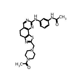 CC(=O)Nc1cccc(Nc2ncc3c(n2)-c2sc(CN4CCN(C(C)=O)CC4)nc2CC3)c1